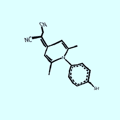 CC1=CC(=C(C#N)C#N)C=C(C)N1c1ccc(S)cc1